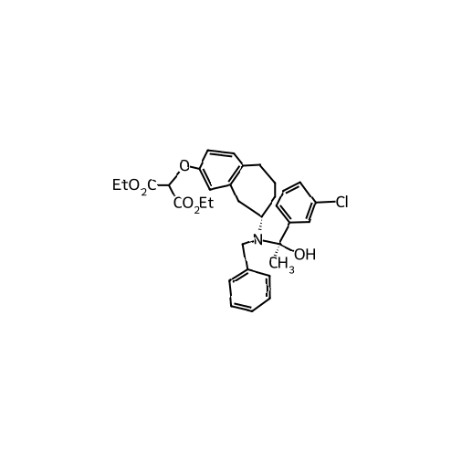 CCOC(=O)C(Oc1ccc2c(c1)C[C@@H](N(Cc1ccccc1)[C@](C)(O)c1cccc(Cl)c1)CCC2)C(=O)OCC